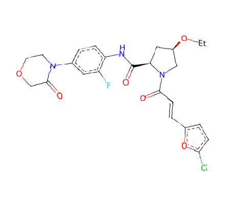 CCO[C@@H]1C[C@H](C(=O)Nc2ccc(N3CCOCC3=O)cc2F)N(C(=O)/C=C/c2ccc(Cl)o2)C1